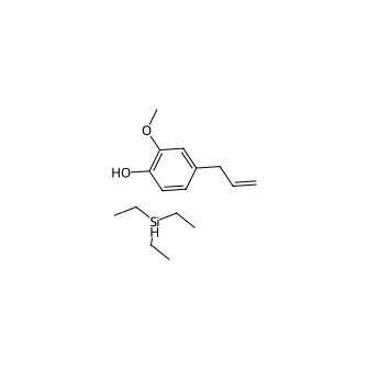 C=CCc1ccc(O)c(OC)c1.CC[SiH](CC)CC